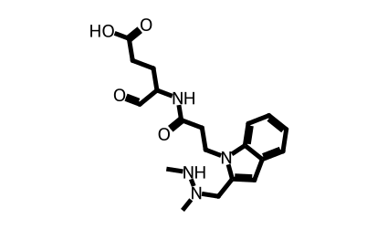 CNN(C)Cc1cc2ccccc2n1CCC(=O)NC(C=O)CCC(=O)O